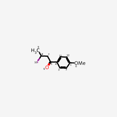 COc1ccc(C(=O)CC(C)I)cc1